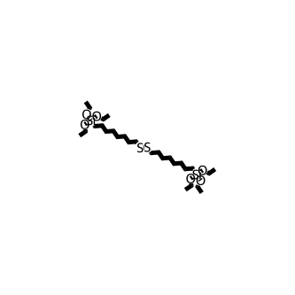 CCO[Si](CCCCCCCCSSCCCCCCCC[Si](OCC)(OCC)OCC)(OCC)OCC